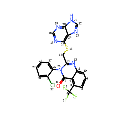 O=c1c2c(C(F)(F)F)cccc2nc(CSc2ncnc3[nH]cnc23)n1-c1ccccc1Cl